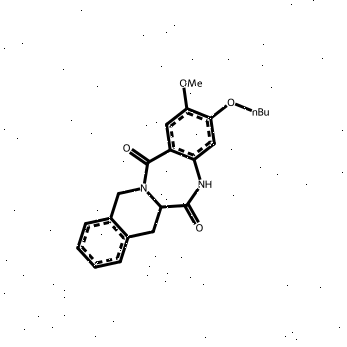 CCCCOc1cc2c(cc1OC)C(=O)N1Cc3ccccc3CC1C(=O)N2